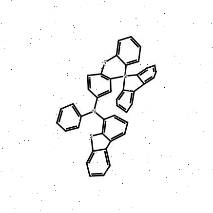 c1ccc(N(c2ccc3c(c2)[Si]2(c4ccccc4S3)c3ccccc3-c3ccccc32)c2cccc3c2sc2ccccc23)cc1